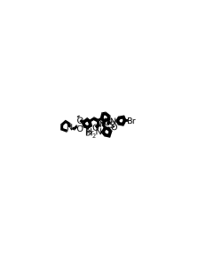 COc1cc(C=C2C(=O)N(c3c(N)cccc3S(=O)(=O)Nc3ccc(Br)cc3)c3ccccc32)cc(Br)c1OCCN1CCCCC1